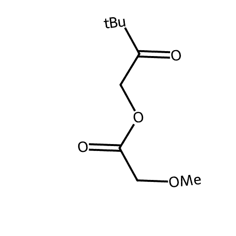 COCC(=O)OCC(=O)C(C)(C)C